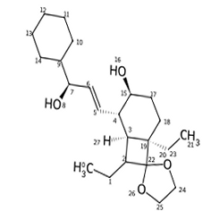 CCC1[C@H]2[C@H](/C=C/[C@@H](O)C3CCCCC3)[C@@H](O)CC[C@@]2(CC)C12OCCO2